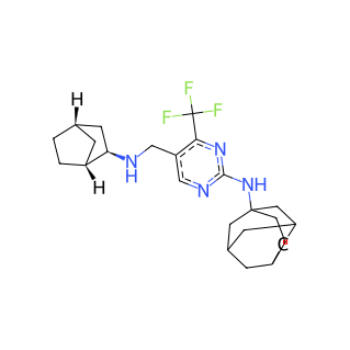 FC(F)(F)c1nc(NC23CCC4CC(CC(C4)C2)C3)ncc1CN[C@@H]1C[C@H]2CC[C@@H]1C2